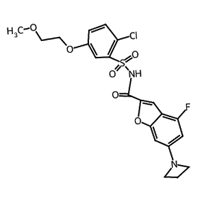 COCCOc1ccc(Cl)c(S(=O)(=O)NC(=O)c2cc3c(F)cc(N4CCC4)cc3o2)c1